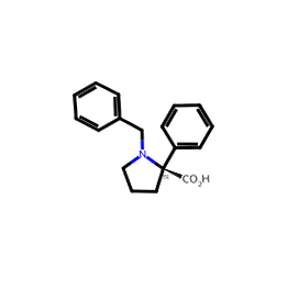 O=C(O)[C@@]1(c2ccccc2)CCCN1Cc1ccccc1